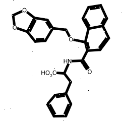 O=C(NC(Cc1ccccc1)C(=O)O)c1ccc2ccccc2c1OCc1ccc2c(c1)OCO2